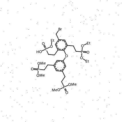 CCOP(=O)(O)CCc1cc(CBr)cc(CCP(=O)(OCC)OCC)c1Oc1cc(CCP(=O)(OC)OC)cc(CCP(=O)(OC)OC)c1